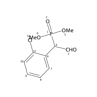 COP(=O)(OC)C(C=O)c1ccccc1Cl